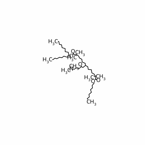 CCCCCCCCCOC(=O)C(C)(C)CCCCCC(CCCCCC(C)(C)C(=O)OC(CCCCCCCC)CCCCCCCC)CC(=O)CCCN(C)C